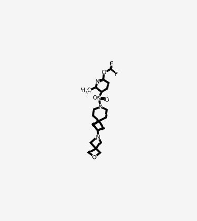 CC1N=C(OC(F)F)CCC1S(=O)(=O)N1CCC2(CC1)CC(N1CC3(COC3)C1)C2